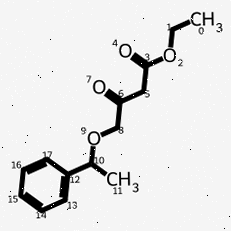 CCOC(=O)CC(=O)COC(C)c1ccccc1